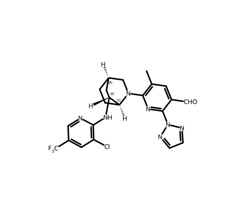 Cc1cc(C=O)c(-n2nccn2)nc1N1C[C@@H]2CC[C@H]1[C@H](Nc1ncc(C(F)(F)F)cc1Cl)C2